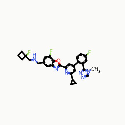 Cn1cnnc1-c1cc(F)ccc1-c1cc(-c2nc3cc(CNCC4(F)CCC4)cc(F)c3o2)nc(C2CC2)c1